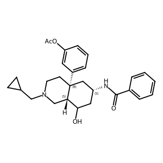 CC(=O)Oc1cccc([C@@]23CCN(CC4CC4)C[C@H]2C(O)C[C@@H](NC(=O)c2ccccc2)C3)c1